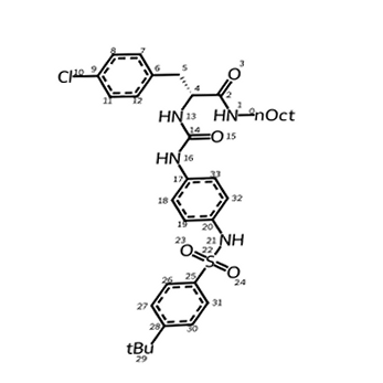 CCCCCCCCNC(=O)[C@@H](Cc1ccc(Cl)cc1)NC(=O)Nc1ccc(NS(=O)(=O)c2ccc(C(C)(C)C)cc2)cc1